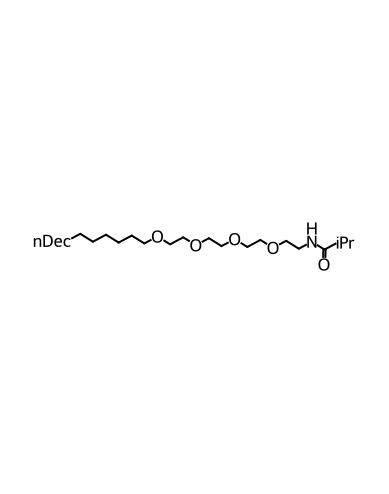 CCCCCCCCCCCCCCCCOCCOCCOCCOCCNC(=O)C(C)C